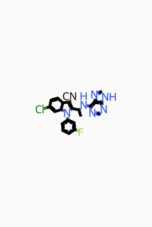 CC(Nc1ncnc2[nH]cnc12)C1=C(C#N)C2C=CC(Cl)=CC2N1c1cccc(F)c1